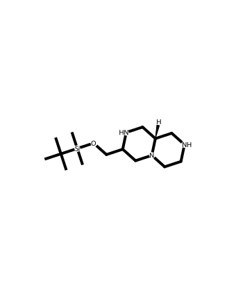 CC(C)(C)[Si](C)(C)OCC1CN2CCNC[C@H]2CN1